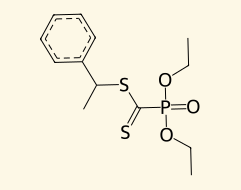 CCOP(=O)(OCC)C(=S)SC(C)c1ccccc1